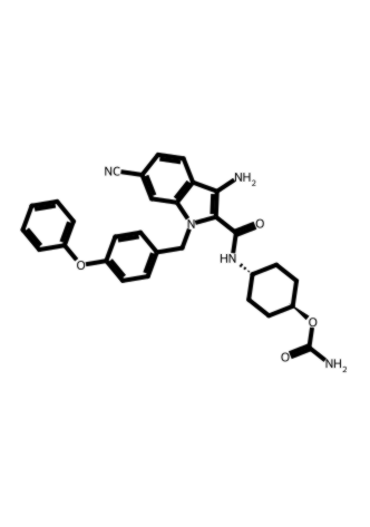 N#Cc1ccc2c(N)c(C(=O)N[C@H]3CC[C@H](OC(N)=O)CC3)n(Cc3ccc(Oc4ccccc4)cc3)c2c1